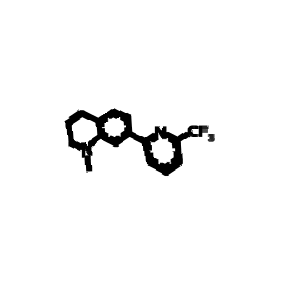 CN1CCCc2ccc(-c3cccc(C(F)(F)F)n3)cc21